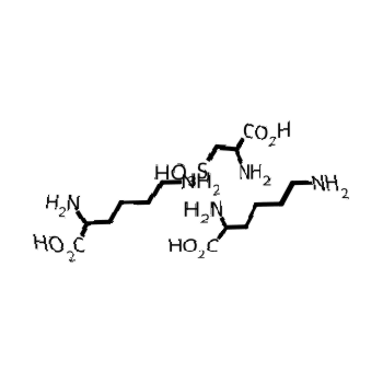 NC(CS(=O)(=O)O)C(=O)O.NCCCCC(N)C(=O)O.NCCCCC(N)C(=O)O